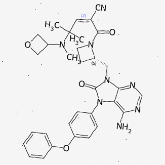 CN(C1COC1)C(C)(C)/C=C(/C#N)C(=O)N1CC[C@H]1Cn1c(=O)n(-c2ccc(Oc3ccccc3)cc2)c2c(N)ncnc21